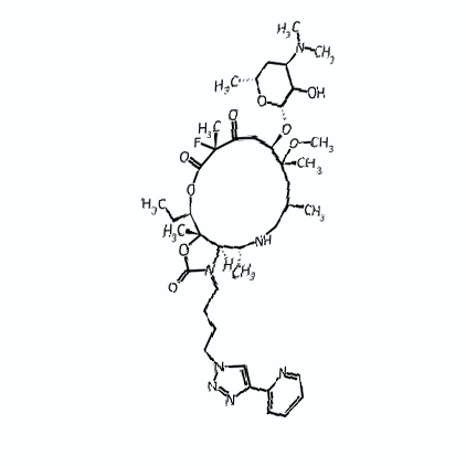 CC[C@H]1OC(=O)[C@](C)(F)C(=O)C[C@@H](O[C@@H]2O[C@H](C)CC(N(C)C)C2O)[C@](C)(OC)C[C@@H](C)CN[C@H](C)[C@H]2N(CCCCn3cc(-c4ccccn4)nn3)C(=O)O[C@]12C